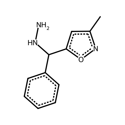 Cc1cc(C(NN)c2ccccc2)on1